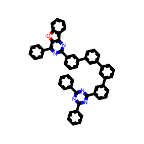 c1ccc(-c2nc(-c3ccccc3)nc(-c3cccc(-c4cccc(-c5cccc(-c6cccc(-c7nc(-c8ccccc8)c8oc9ccccc9c8n7)c6)c5)c4)c3)n2)cc1